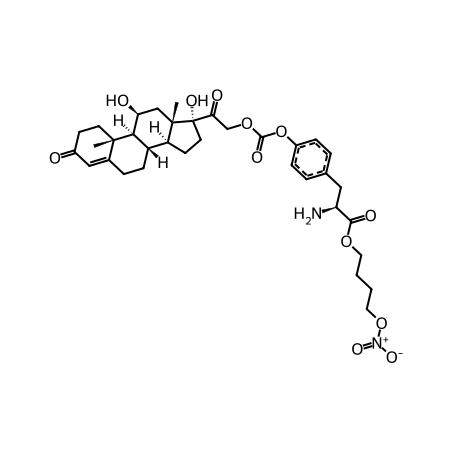 C[C@]12CCC(=O)C=C1CC[C@@H]1[C@@H]2[C@@H](O)C[C@@]2(C)[C@H]1CC[C@]2(O)C(=O)COC(=O)Oc1ccc(C[C@H](N)C(=O)OCCCCO[N+](=O)[O-])cc1